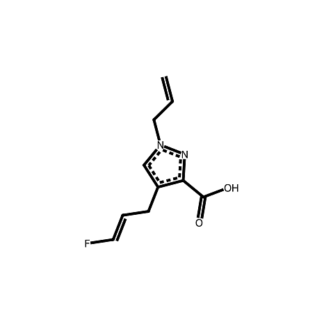 C=CCn1cc(CC=CF)c(C(=O)O)n1